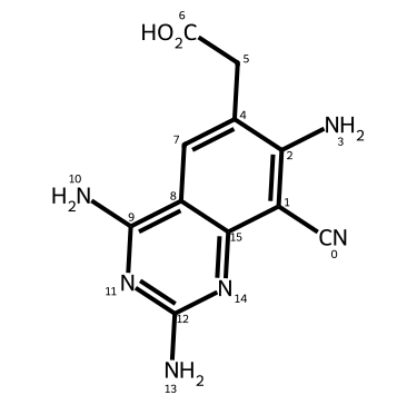 N#Cc1c(N)c(CC(=O)O)cc2c(N)nc(N)nc12